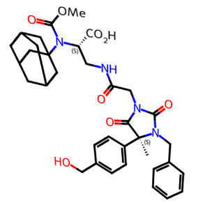 COC(=O)N([C@@H](CNC(=O)CN1C(=O)N(Cc2ccccc2)[C@@](C)(c2ccc(CO)cc2)C1=O)C(=O)O)C12CC3CC(CC(C3)C1)C2